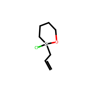 C=CC[Si]1(Cl)CCCCO1